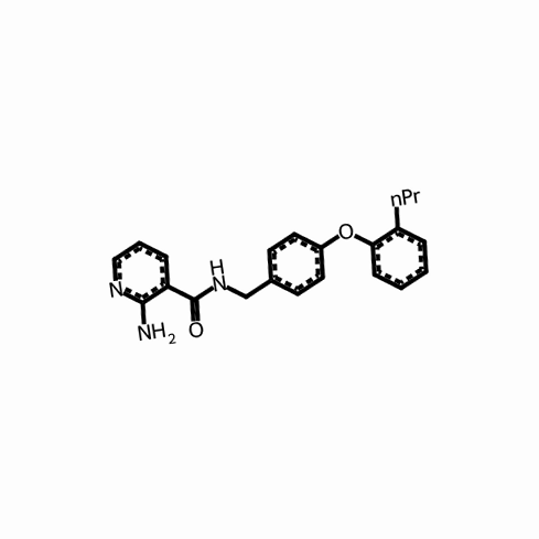 CCCc1ccccc1Oc1ccc(CNC(=O)c2cccnc2N)cc1